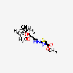 COC(=O)c1csc(NCCCC(CO[Si](C)(C)C(C)(C)C)OC)n1